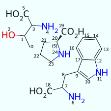 CC(O)C(N)C(=O)O.NC(Cc1c[nH]c2ccccc12)C(=O)O.O=C(O)[C@@H]1CCCN1